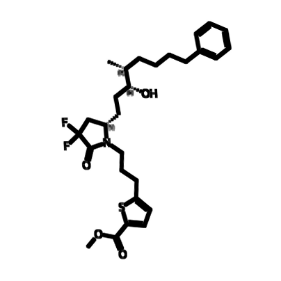 COC(=O)c1ccc(CCCN2C(=O)C(F)(F)C[C@@H]2CC[C@@H](O)[C@H](C)CCCCc2ccccc2)s1